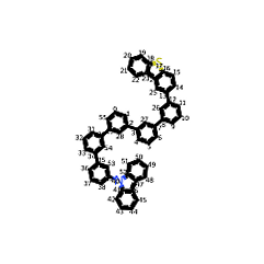 c1cc(-c2cccc(-c3cccc(-c4ccc5sc6ccccc6c5c4)c3)c2)cc(-c2cccc(-c3cccc(-n4c5ccccc5c5ccccc54)c3)c2)c1